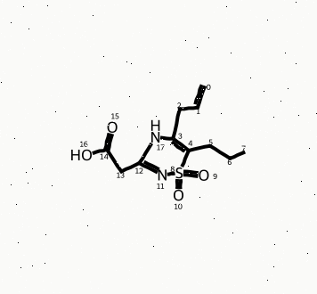 C=CCC1=C(CCC)S(=O)(=O)N=C(CC(=O)O)N1